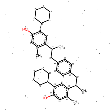 Cc1cc(O)c(C2CCCCC2)cc1C(C)Cc1ccc(CC(C)c2cc(C3CCCCC3)c(O)cc2C)cc1